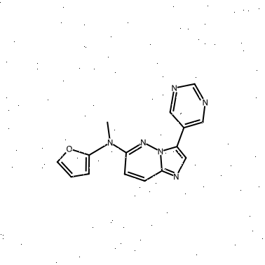 CN(c1ccc2ncc(-c3cncnc3)n2n1)c1ccco1